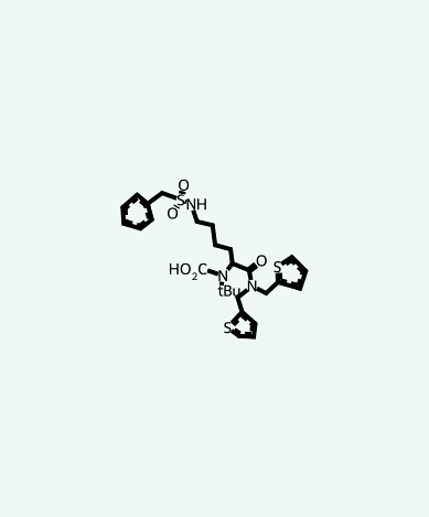 CC(C)(C)N(C(=O)O)C(CCCCNS(=O)(=O)Cc1ccccc1)C(=O)N(Cc1cccs1)Cc1cccs1